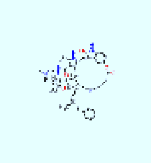 CCN(CC)CCNC(=O)c1c(C)[nH]c2c1C[C@H]1C[C@@H](O[Si](C)(C)C(C)(C)C)[C@H](CC[C@H](C)CCc3ccccc3)C1C/C=C\CCCC(=O)Oc1ccc3c(c1)/C(=C/2)C(=O)N3